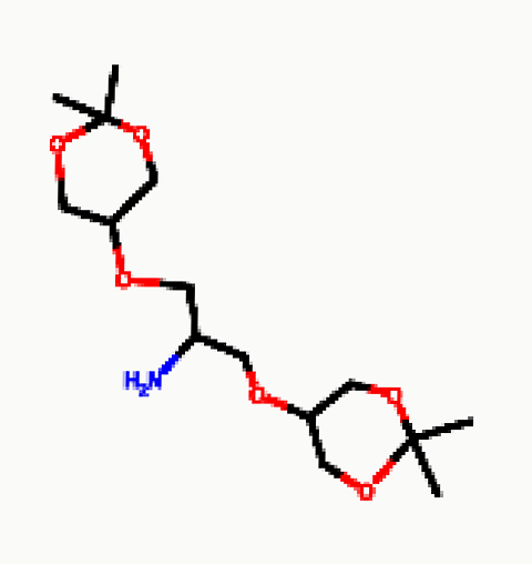 CC1(C)OCC(OCC(N)COC2COC(C)(C)OC2)CO1